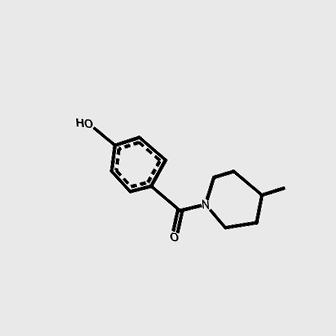 CC1CCN(C(=O)c2ccc(O)cc2)CC1